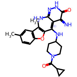 Cc1ccc2oc(/C(NC3CCN(C(=O)C4CC4)CC3)=C3/C(=N)C(=O)NN=C3N)c(C)c2c1